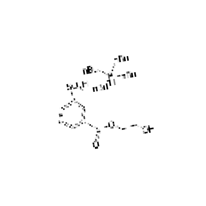 CCCC[PH](CCCC)(CCCC)CCCC.O=C(OCCO)c1cccc(S(=O)(=O)O)c1